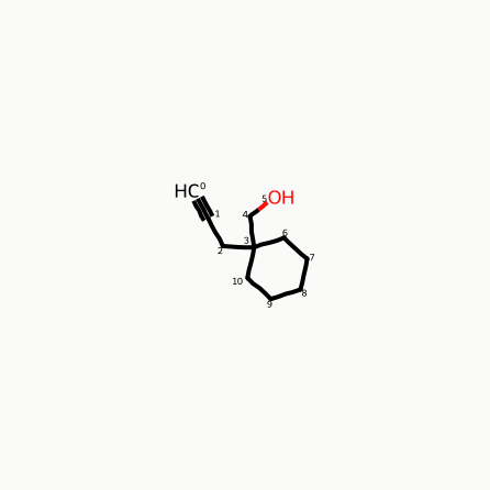 C#CCC1(CO)CCCCC1